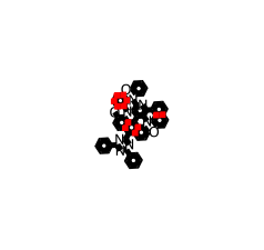 c1ccc(-c2nc(-c3ccccc3)nc(-c3ccc(-c4c(N5c6ccccc6Oc6ccccc65)c(-c5ccccc5)nc(N5c6ccccc6Oc6ccccc65)c4N4c5ccccc5Oc5ccccc54)cc3)n2)cc1